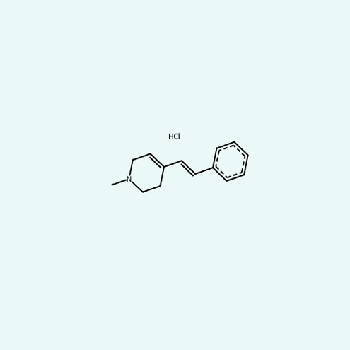 CN1CC=C(/C=C/c2ccccc2)CC1.Cl